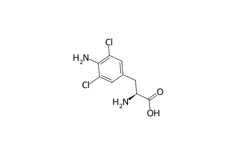 Nc1c(Cl)cc(C[C@H](N)C(=O)O)cc1Cl